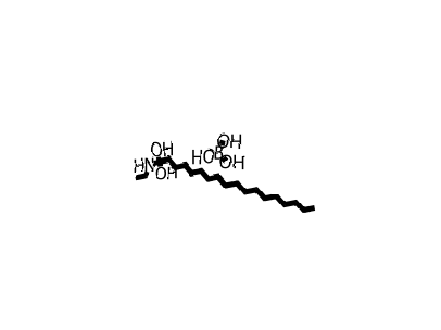 CCCCCCCCCCCCCCCCCC(O)(O)NCC.OB(O)O